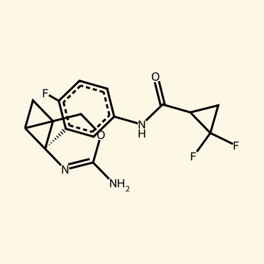 NC1=N[C@@]2(c3cc(NC(=O)C4CC4(F)F)ccc3F)C3CC32CO1